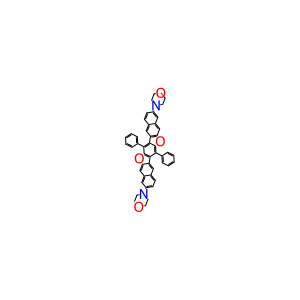 c1ccc(-c2c3oc4cc5cc(N6CCOCC6)ccc5cc4c3c(-c3ccccc3)c3oc4cc5cc(N6CCOCC6)ccc5cc4c23)cc1